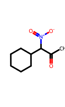 CC(=O)C(C1CCCCC1)[N+](=O)[O-]